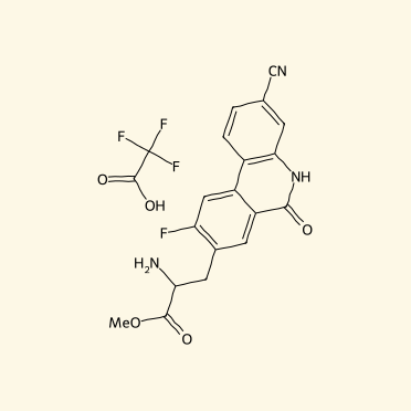 COC(=O)C(N)Cc1cc2c(=O)[nH]c3cc(C#N)ccc3c2cc1F.O=C(O)C(F)(F)F